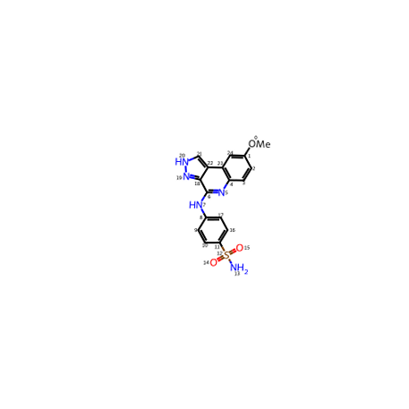 COc1ccc2nc(Nc3ccc(S(N)(=O)=O)cc3)c3n[nH]cc3c2c1